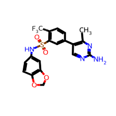 Cc1nc(N)ncc1-c1ccc(C(F)(F)F)c(S(=O)(=O)Nc2ccc3c(c2)OCO3)c1